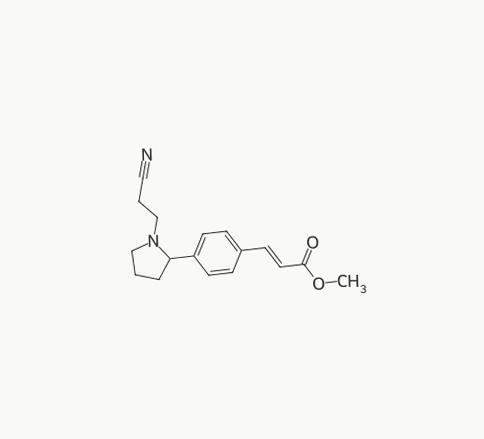 COC(=O)/C=C/c1ccc(C2CCCN2CCC#N)cc1